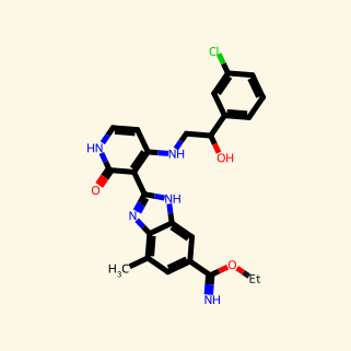 CCOC(=N)c1cc(C)c2nc(-c3c(NCC(O)c4cccc(Cl)c4)cc[nH]c3=O)[nH]c2c1